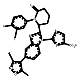 Cc1noc(C)c1-c1ccc2c(c1)nc(C1CCCC(=O)N1c1ccc(F)c(F)c1)n2-c1ncc(C(=O)O)s1